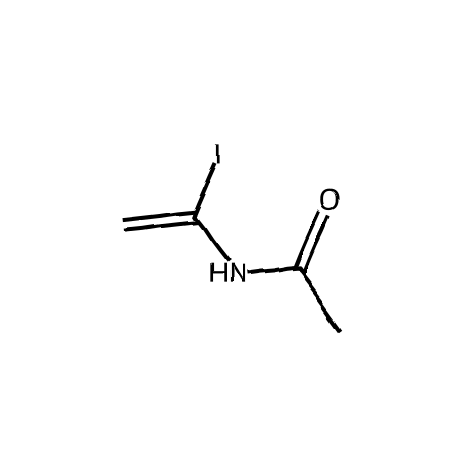 C=C(I)NC(C)=O